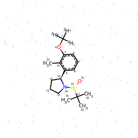 [2H]C([2H])([2H])Oc1cccc([C@@H]2CCCN2[S@+]([O-])C(C)(C)C)c1C